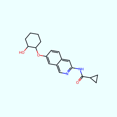 O=C(Nc1cc2ccc(OC3CCCCC3O)cc2cn1)C1CC1